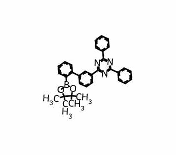 CC1(C)OB(c2ccccc2-c2cccc(-c3nc(-c4ccccc4)nc(-c4ccccc4)n3)c2)OC1(C)C